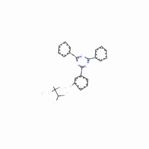 CC1OB(c2cccc(-c3nc(-c4ccccc4)nc(-c4ccccc4)n3)c2)OC1(C)C